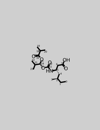 CC[C@@H](C)C[C@@H](CC(=O)O)NC(=O)O[C@H](OC(=O)C(C)C)C(C)C